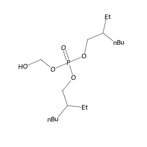 CCCCC(CC)COP(=O)(OCO)OCC(CC)CCCC